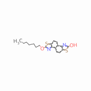 CCCCCCCOc1nc2c(ccc3c2ccc2sc(O)nc23)s1